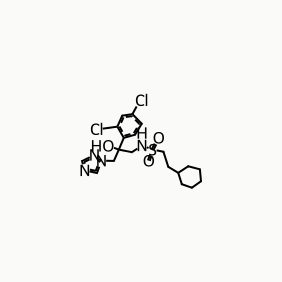 O=S(=O)(CCC1CCCCC1)NCC(O)(Cn1cncn1)c1ccc(Cl)cc1Cl